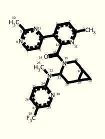 Cc1ccc(-c2ccnc(C)n2)c(C(=O)N2CC3CC3CC2N(C)c2ccc(C(F)(F)F)cn2)n1